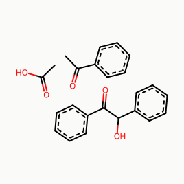 CC(=O)O.CC(=O)c1ccccc1.O=C(c1ccccc1)C(O)c1ccccc1